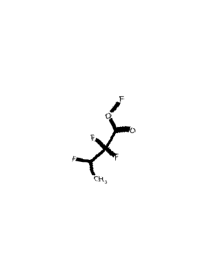 CC(F)C(F)(F)C(=O)OF